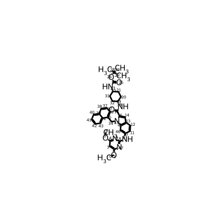 COc1cc(OC)nc(Nc2ccc3cc(C(=O)N[C@H]4CC[C@H](NC(=O)OC(C)(C)C)CC4)n(Cc4cccc5ccccc45)c3c2)n1